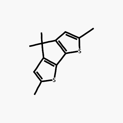 Cc1cc2c(s1)-c1sc(C)cc1C2(C)C